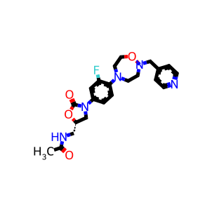 CC(=O)NC[C@H]1CN(c2ccc(N3CCON(Cc4ccncc4)CC3)c(F)c2)C(=O)O1